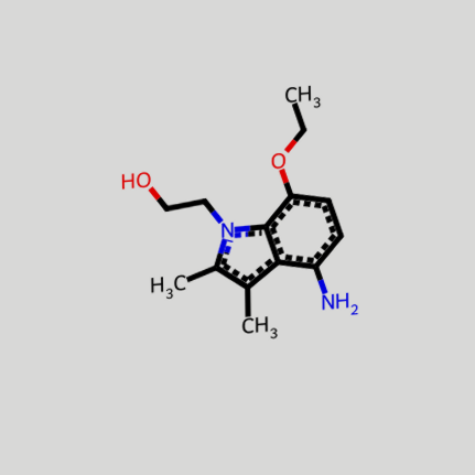 CCOc1ccc(N)c2c(C)c(C)n(CCO)c12